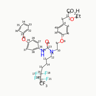 CCOC(Cc1ccc(OCCN(CCCCC(F)(F)C(F)(F)C(F)(F)F)C(=O)Nc2ccc(Oc3ccccc3)cc2)cc1)C(=O)O